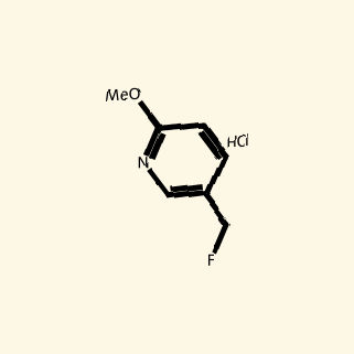 COc1ccc(CF)cn1.Cl